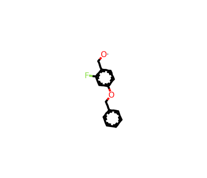 [O]Cc1ccc(OCc2ccccc2)cc1F